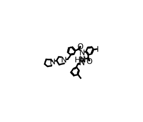 Cc1cccc(C=NNC(=O)c2cc(I)ccc2NC(=O)c2cccc(CN3CCC(N4CCCCC4)CC3)c2)c1